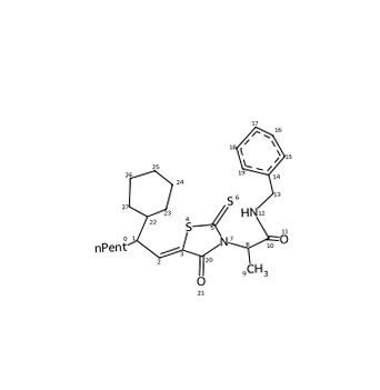 CCCCCC(C=C1SC(=S)N(C(C)C(=O)NCc2ccccc2)C1=O)C1CCCCC1